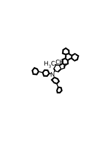 CC1(C)C=C(N(c2ccc(-c3ccccc3)cc2)c2ccc(-c3ccccc3)cc2)C=C2C=c3cc4c5ccccc5c5ccccc5c4cc3=C21